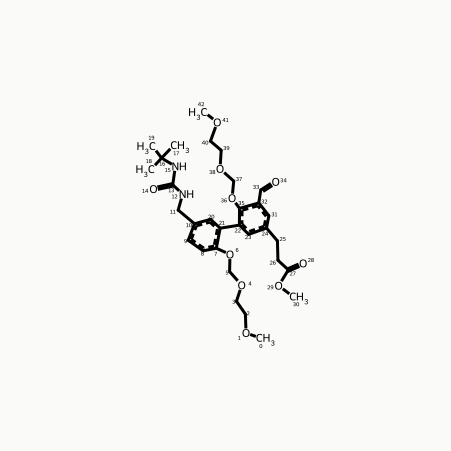 COCCOCOc1ccc(CNC(=O)NC(C)(C)C)cc1-c1cc(CCC(=O)OC)cc(C=O)c1OCOCCOC